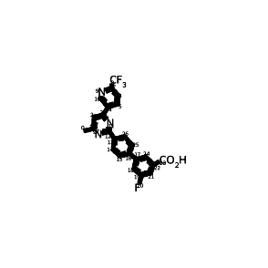 Cc1cc(-c2ccc(C(F)(F)F)nc2)nc(-c2ccc(-c3cc(F)cc(C(=O)O)c3)cc2)n1